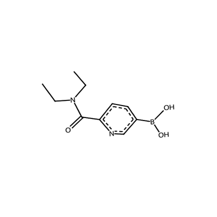 CCN(CC)C(=O)c1ccc(B(O)O)cn1